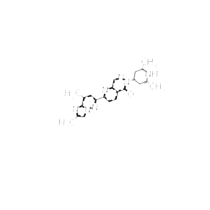 Cc1cn2nc(-c3ccc4c(=O)n([C@H]5C[C@@H](C)N[C@@H](C)C5)ncc4n3)cc(C)c2n1